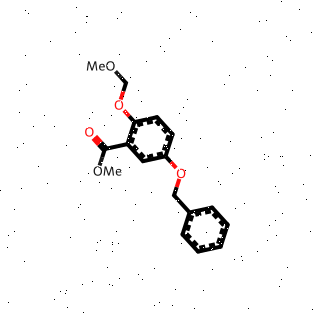 COCOc1ccc(OCc2ccccc2)cc1C(=O)OC